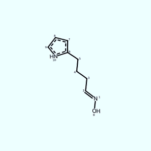 ON=CCCCc1ccc[nH]1